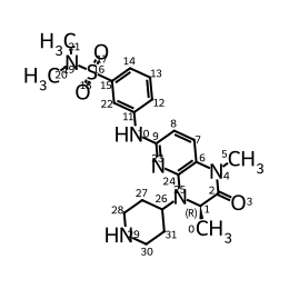 C[C@@H]1C(=O)N(C)c2ccc(Nc3cccc(S(=O)(=O)N(C)C)c3)nc2N1C1CCNCC1